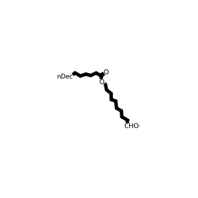 CCCCCCCCCCCCCCCC(=O)OCCCCCCCCC[C]=O